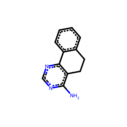 Nc1ncnc2c1CCc1ccccc1-2